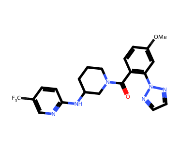 COc1ccc(C(=O)N2CCCC(Nc3ccc(C(F)(F)F)cn3)C2)c(-n2nccn2)c1